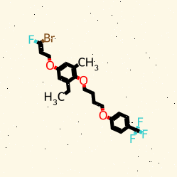 CCc1cc(OCC=C(F)Br)cc(C)c1OCCCCOc1ccc(C(F)(F)F)cc1